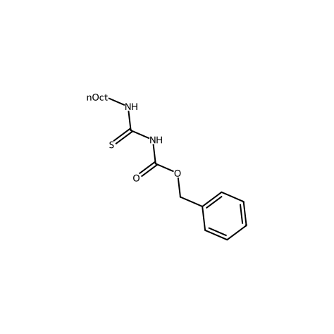 CCCCCCCCNC(=S)NC(=O)OCc1ccccc1